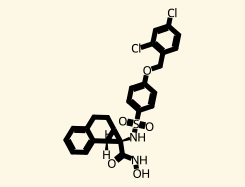 O=C(NO)[C@]1(NS(=O)(=O)c2ccc(OCc3ccc(Cl)cc3Cl)cc2)[C@@H]2c3ccccc3CC[C@@H]21